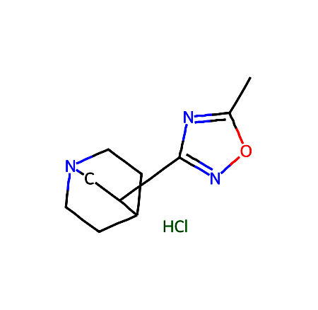 Cc1nc(C2CN3CCC2CC3)no1.Cl